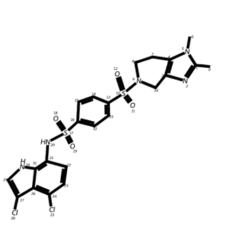 Cc1nc2c(n1C)CCN(S(=O)(=O)c1ccc(S(=O)(=O)Nc3ccc(Cl)c4c(Cl)c[nH]c34)cc1)C2